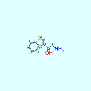 NCC(O)c1csc2ccccc12